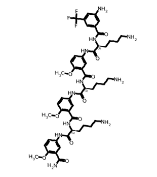 COc1ccc(NC(=O)[C@H](CCCCN)NC(=O)c2cc(NC(=O)[C@H](CCCCN)NC(=O)c3cc(NC(=O)[C@H](CCCCN)NC(=O)c4cc(N)cc(C(F)(F)F)c4)ccc3OC)ccc2OC)cc1C(N)=O